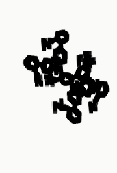 N#Cc1cc(-c2cc(-n3c4ccc(-c5ccccc5C#N)cc4c4cc(-c5ccccc5C#N)ccc43)c(C#N)cc2-n2c3ccc(-c4ccccc4C#N)cc3c3cc(-c4ccccc4C#N)ccc32)cc(C(F)(F)F)c1